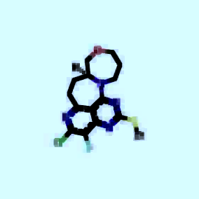 CCSc1nc2c3c(nc(Cl)c(F)c3n1)CC[C@H]1COCCCN21